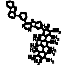 Bc1c(B)c(B)c(-c2c(B)c(B)c(-c3c(B)c(B)c(B)c(-c4ccc5sc6c(-c7cccc(-c8cccc9c8sc8ccccc89)c7)ncnc6c5c4)c3B)c(B)c2B)c(B)c1B